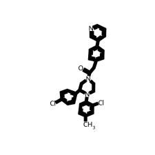 Cc1ccc(N2CCN(C(=O)Cc3ccc(-c4cccnc4)cc3)CC2c2ccc(Cl)cc2)c(Cl)c1